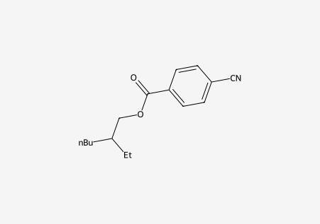 CCCCC(CC)COC(=O)c1ccc(C#N)cc1